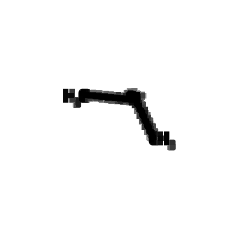 CCCCCCCCCCCCCCCc1ccc[n+](CCCCCCCCCCCCCCC)c1